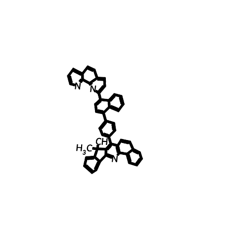 CC1(C)c2ccccc2-c2nc3c(ccc4ccccc43)c(-c3ccc(-c4ccc(-c5ccc6ccc7cccnc7c6n5)c5ccccc45)cc3)c21